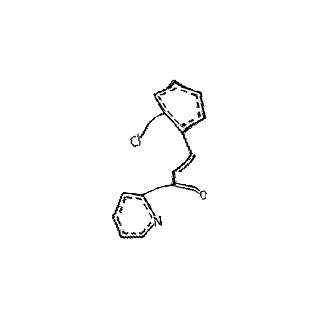 O=C(C=Cc1ccccc1Cl)c1ccccn1